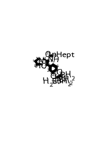 BC1(B)Oc2ccc([C@@H](O)[C@@H](CN3CCCC3)NC(=O)CCCCCCC)cc2OC1(B)B